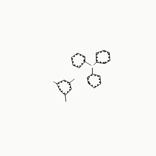 O=C(O)c1cc(C(=O)O)cc(S(=O)(=O)O)c1.c1ccc(P(c2ccccc2)c2ccccc2)cc1